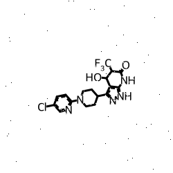 O=C1Nc2[nH]nc(C3CCN(c4ccc(Cl)cn4)CC3)c2C(O)C1C(F)(F)F